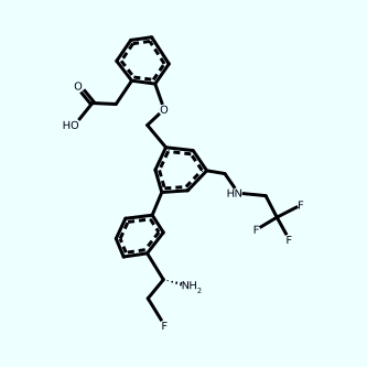 N[C@H](CF)c1cccc(-c2cc(CNCC(F)(F)F)cc(COc3ccccc3CC(=O)O)c2)c1